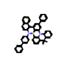 CC1(C)c2ccccc2N2c3cc(-c4ccccc4)cc4c3B(c3cccc1c32)N(c1ccc(-c2ccccc2)cc1)c1ccc2ccccc2c1-4